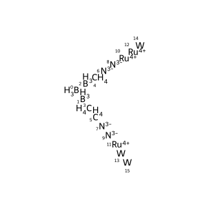 B.B.B.C.C.C.[N-3].[N-3].[N-3].[N-3].[Ru+4].[Ru+4].[Ru+4].[W].[W].[W]